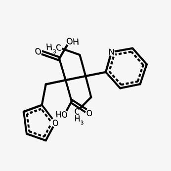 CCC(CC)(c1ccccn1)C(Cc1ccco1)(C(=O)O)C(=O)O